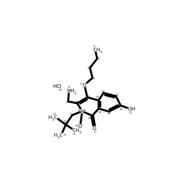 CCCCOC1=C(CN)[N+]([O-])(CC(C)(C)C)C(=O)c2cc(O)ccc21.Cl